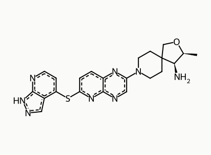 C[C@@H]1OCC2(CCN(c3cnc4nc(Sc5ccnc6[nH]ncc56)ccc4n3)CC2)[C@@H]1N